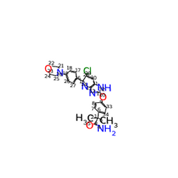 CC(C)(C(N)=O)c1ccc(Oc2nc3nc(-c4ccc(N5CCOCC5)cc4)c(Cl)cc3[nH]2)cc1